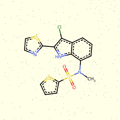 CN(c1cccc2c(Cl)c(-c3nccs3)[nH]c12)S(=O)(=O)c1cccs1